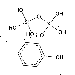 O[Si](O)(O)O[Si](O)(O)O.Oc1ccccc1